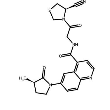 C[C@@H]1CCN(c2ccc3nccc(C(=O)NCC(=O)N4CSC[C@H]4C#N)c3c2)C1=O